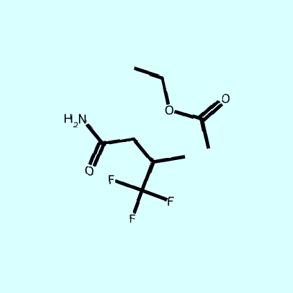 CC(CC(N)=O)C(F)(F)F.CCOC(C)=O